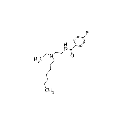 CCCCCCCN(CC)CCNC(=O)c1ccc(F)cc1